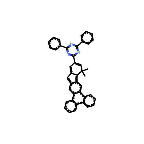 CC1(C)C=C(c2nc(-c3ccccc3)nc(-c3ccccc3)n2)C=C2C=c3cc4c5ccccc5c5ccccc5c4cc3=C21